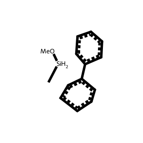 CO[SiH2]C.c1ccc(-c2ccccc2)cc1